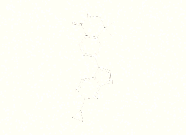 CC1(C)CNC(=O)c2ccc(-c3c[nH]c4nc(C5CC5)ncc34)cc21